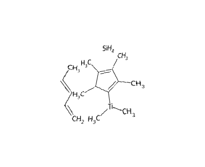 C=CC=CC.CC1=C(C)C(C)[C]([Ti]([CH3])[CH3])=C1C.[SiH4]